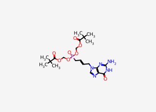 CC(C)(C)C(=O)OCOP(=O)(C/C=C/Cn1cnc2c(=O)[nH]c(N)nc21)OCOC(=O)C(C)(C)C